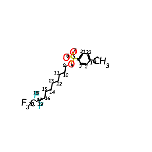 Cc1ccc(S(=O)(=O)OCCCCCCCCC(F)(F)C(F)(F)F)cc1